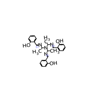 CC(/N=C/c1ccccc1O)N(C(C)/N=C/c1ccccc1O)C(C)/N=C/c1ccccc1O